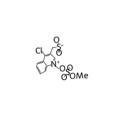 COS(=O)(=O)[O-].C[n+]1cc(CS(C)(=O)=O)c(Cl)c2ccccc21